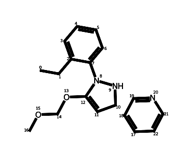 CCc1ccccc1N1NCC=C1OCOC.c1ccncc1